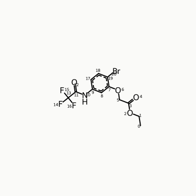 CCOC(=O)COc1cc(NC(=O)C(F)(F)F)ccc1Br